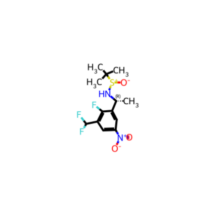 C[C@@H](N[S+]([O-])C(C)(C)C)c1cc([N+](=O)[O-])cc(C(F)F)c1F